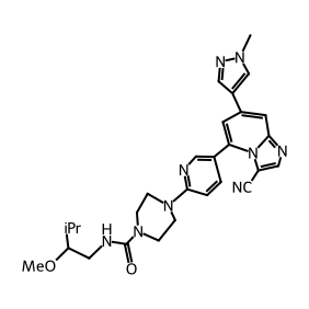 COC(CNC(=O)N1CCN(c2ccc(-c3cc(-c4cnn(C)c4)cc4ncc(C#N)n34)cn2)CC1)C(C)C